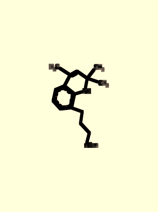 CCCCCCCCCCCCc1cccc2c1NC(C)(C)C=C2C